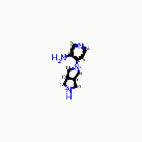 Nc1cnccc1N1CC2CNCC2C1